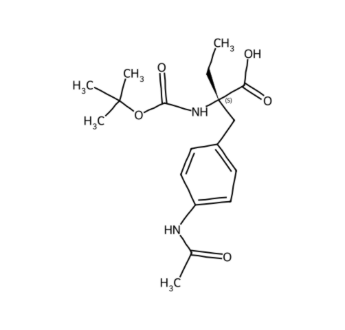 CC[C@@](Cc1ccc(NC(C)=O)cc1)(NC(=O)OC(C)(C)C)C(=O)O